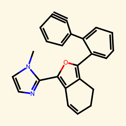 Cn1ccnc1-c1oc(-c2ccccc2-c2c#cccc2)c2c1C=CCC2